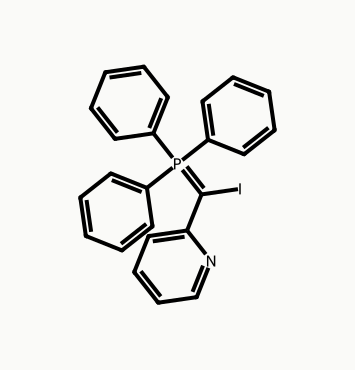 IC(c1ccccn1)=P(c1ccccc1)(c1ccccc1)c1ccccc1